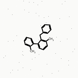 Cc1ccccc1-c1cccc(C)c1Cc1ccccc1